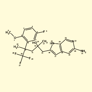 COc1ccc(F)cc1C(C)(CC(C)(O)Cc1cc2cc(N)ncc2[nH]1)C(F)(F)F